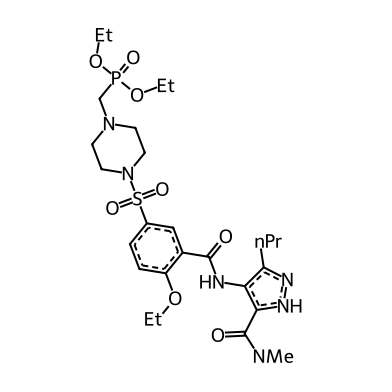 CCCc1n[nH]c(C(=O)NC)c1NC(=O)c1cc(S(=O)(=O)N2CCN(CP(=O)(OCC)OCC)CC2)ccc1OCC